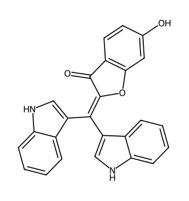 O=C1C(=C(c2c[nH]c3ccccc23)c2c[nH]c3ccccc23)Oc2cc(O)ccc21